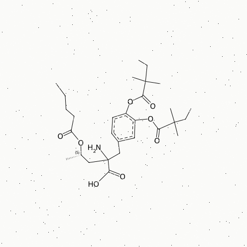 CCCCC(=O)O[C@@H](C)CC(N)(Cc1ccc(OC(=O)C(C)(C)CC)c(OC(=O)C(C)(C)CC)c1)C(=O)O